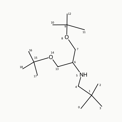 CC(C)(C)CNC(COC(C)(C)C)COC(C)(C)C